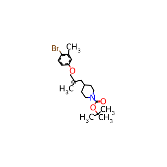 Cc1cc(OC[C@H](C)CC2CCN(C(=O)OC(C)(C)C)CC2)ccc1Br